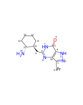 CC(C)c1n[nH]c2c(=O)[nH]c(C[C@@H]3CCCC[C@H]3N)nc12